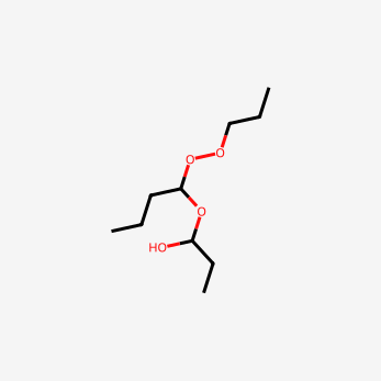 CCCOOC(CCC)OC(O)CC